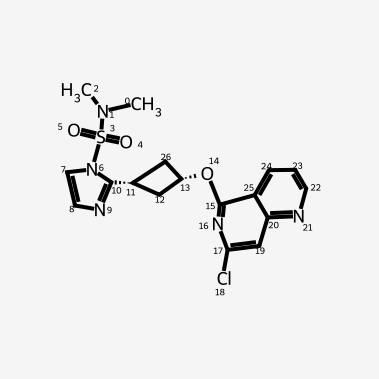 CN(C)S(=O)(=O)n1ccnc1[C@H]1C[C@@H](Oc2nc(Cl)cc3ncccc23)C1